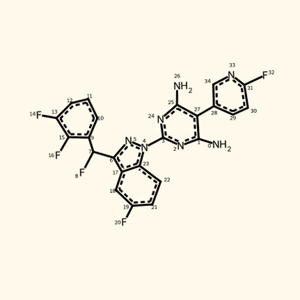 Nc1nc(-n2nc(C(F)c3cccc(F)c3F)c3cc(F)ccc32)nc(N)c1-c1ccc(F)nc1